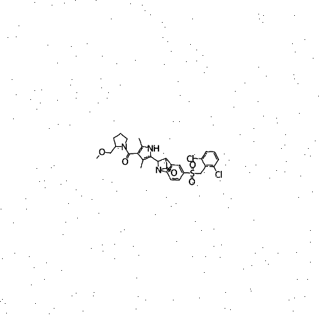 COCC1CCCN1C(=O)c1c(C)[nH]c(C2C3C(=O)N2c2ccc(S(=O)(=O)Cc4c(Cl)cccc4Cl)cc23)c1C